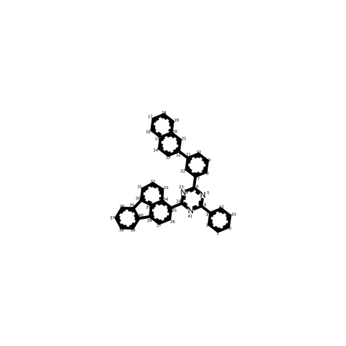 c1ccc(-c2nc(-c3cccc(-c4ccc5ccccc5c4)c3)nc(-c3ccc4c5c(cccc35)-c3ccccc3-4)n2)cc1